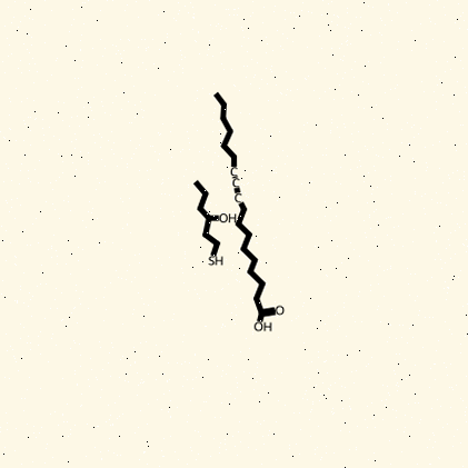 CCCC(O)CCS.CCCCCCCCCCCCCCCCCC(=O)O